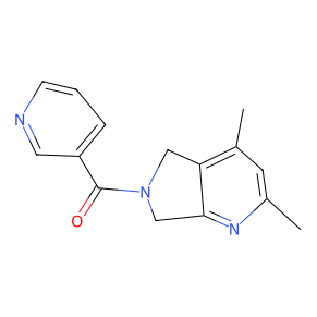 Cc1cc(C)c2c(n1)CN(C(=O)c1cccnc1)C2